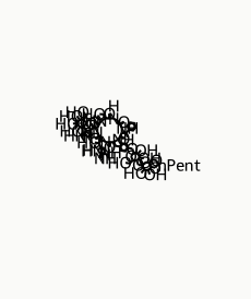 CCCCCC1OCC2OC(OC3C(CO)OC(Oc4ccc(CC5NC(=O)C(C(C)c6ccccc6)NC(=O)CNC(=O)C(CO)NC(=O)C(C(O)C6CNC(=N)N6C6OC(CO)C(O)C(O)C6O)NC(=O)C(C(O)C6CNC(=N)N6)NC5=O)cc4)C(O)C3O)C(O)C(O)C2O1